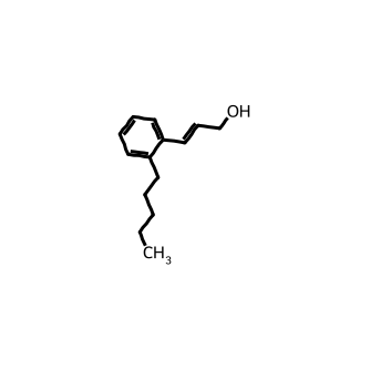 CCCCCc1ccccc1/C=C/CO